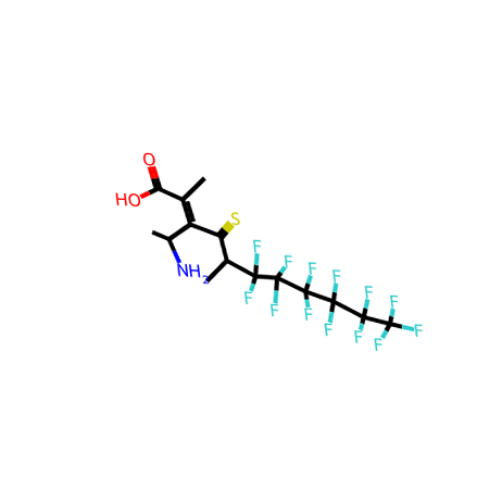 CC(C(=O)O)=C(C(=S)C(C)C(F)(F)C(F)(F)C(F)(F)C(F)(F)C(F)(F)C(F)(F)F)C(C)N